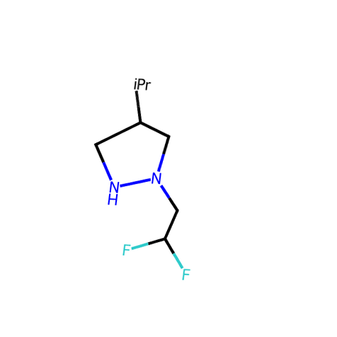 CC(C)C1CNN(CC(F)F)C1